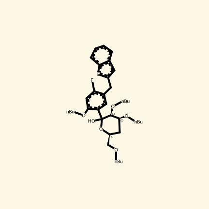 CCCCOC[C@@H]1C[C@H](OCCCC)[C@H](OCCCC)C(O)(c2cc(Cc3cc4ccccc4s3)c(F)cc2OCCCC)O1